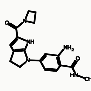 CNC(=O)c1ccc(N2CCc3cc(C(=O)N4CCC4)[nH]c32)cc1N